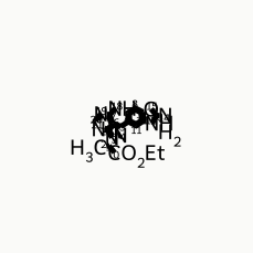 CCOC(=O)C(C)n1nc(-c2ccc3c(c2)NC(N)O3)c2c(N)ncnc21